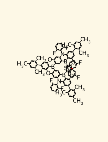 Cc1cc(C)c(-c2cc3c4c(c2)Oc2cc5c(cc2B4c2cc4c(cc2O3)N(c2c(F)cccc2F)c2cc(-c3c(C)cc(C)cc3C)cc3c2B4c2sc4ccc(F)cc4c2O3)B2c3sc4ccc(F)cc4c3Oc3cc(-c4c(C)cc(C)cc4C)cc(c32)N5c2c(F)cccc2F)c(C)c1